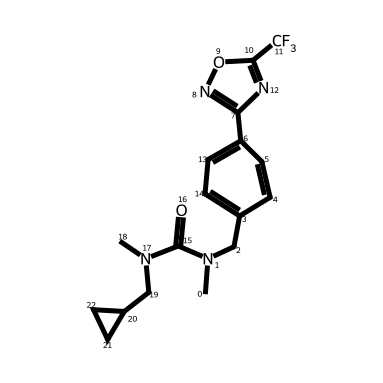 CN(Cc1ccc(-c2noc(C(F)(F)F)n2)cc1)C(=O)N(C)CC1CC1